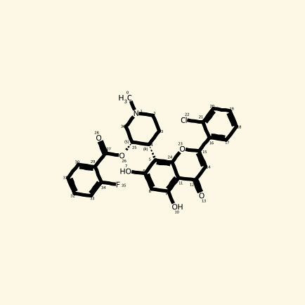 CN1CC[C@H](c2c(O)cc(O)c3c(=O)cc(-c4ccccc4Cl)oc23)[C@H](OC(=O)c2ccccc2F)C1